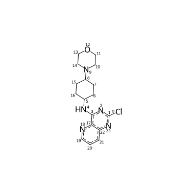 Clc1nc(NC2CCC(N3CCOCC3)CC2)c2ncccc2n1